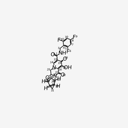 O=C(NCc1c(F)cc(F)cc1F)c1cn2c(c(O)c1=O)C(=O)N1C(C2)O[C@@H]2C[C@H]1[C@H]1C[C@H]12